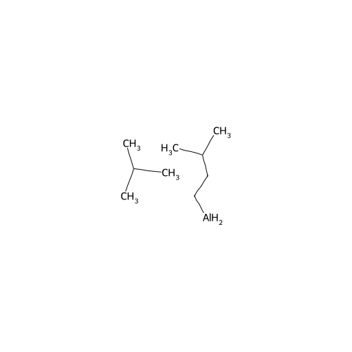 CC(C)C.CC(C)C[CH2][AlH2]